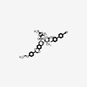 CCOc1ccc(C2COc3cc4c(cc3O2)CN(S(=O)(=O)c2sc(N)nc2C)[C@H](C(=O)N(C)[C@@H](Cc2ccc(-c3ccc(C#N)cc3)cc2)C(=O)O)C4)cc1